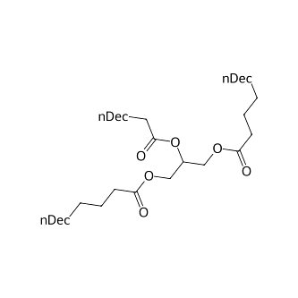 CCCCCCCCCCCCCC(=O)OCC(COC(=O)CCCCCCCCCCCCC)OC(=O)CCCCCCCCCCC